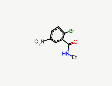 CCNC(=O)c1cc([N+](=O)[O-])ccc1Br